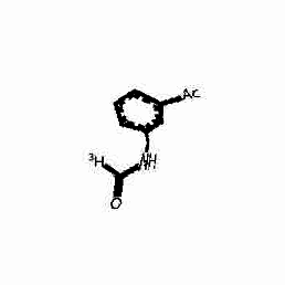 [3H]C(=O)Nc1cccc(C(C)=O)c1